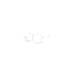 O=CC1CCC2CNCC2C1